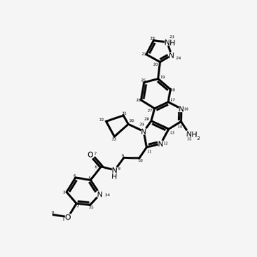 COc1ccc(C(=O)NCCc2nc3c(N)nc4cc(-c5cc[nH]n5)ccc4c3n2C2CCC2)nc1